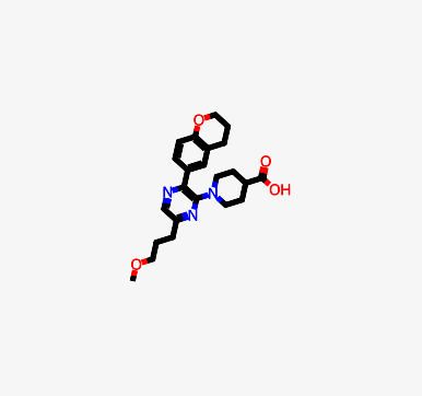 COCCCc1cnc(-c2ccc3c(c2)CCCO3)c(N2CCC(C(=O)O)CC2)n1